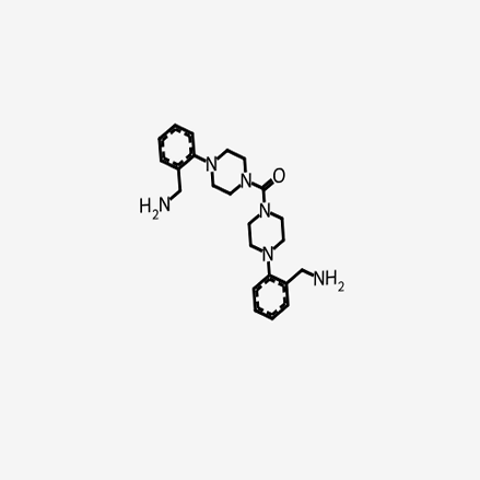 NCc1ccccc1N1CCN(C(=O)N2CCN(c3ccccc3CN)CC2)CC1